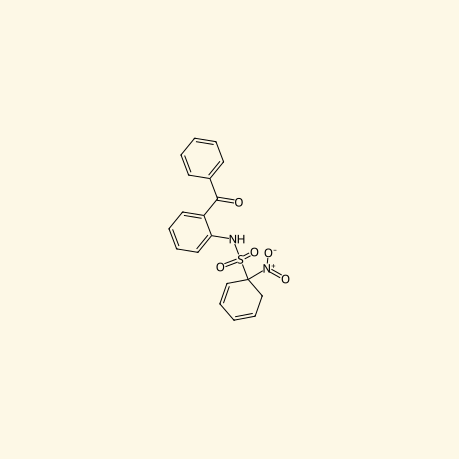 O=C(c1ccccc1)c1ccccc1NS(=O)(=O)C1([N+](=O)[O-])C=CC=CC1